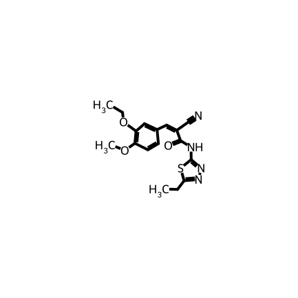 CCOc1cc(C=C(C#N)C(=O)Nc2nnc(CC)s2)ccc1OC